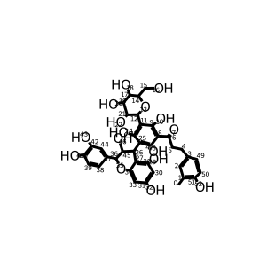 Cc1cc(CCC(=O)c2c(O)c(C3OC(CO)C(O)C(O)C3O)c(O)c(C3c4c(O)cc(O)cc4OC(c4ccc(O)c(O)c4)C3O)c2O)ccc1O